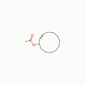 CC(=O)OC1C=CCCCCCCCCC1